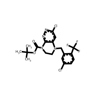 CC(C)(C)OC(=O)N1CCN(Cc2cc(Cl)ccc2C(F)(F)F)c2cc(Cl)nnc21